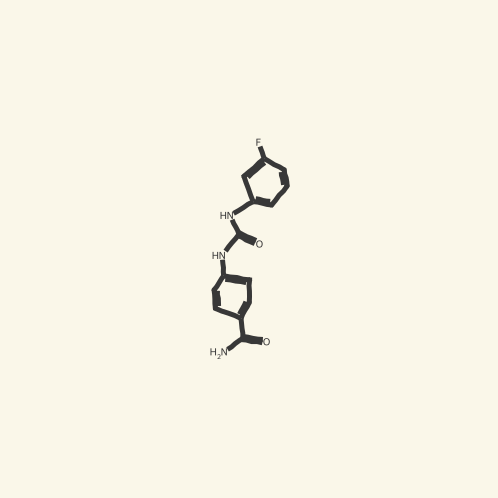 NC(=O)c1ccc(NC(=O)Nc2cccc(F)c2)cc1